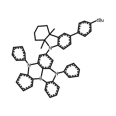 CC(C)(C)c1ccc(-c2ccc3c(c2)C2(C)CCCCC2(C)N3c2cc3c4c(c2)N(c2ccccc2)c2ccccc2B4c2ccccc2N3c2ccccc2)cc1